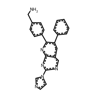 NCc1ccc(-c2nc3nc(-n4ccnc4)ncc3cc2-c2ccccc2)cc1